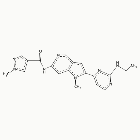 Cn1cc(C(=O)Nc2cc3c(cn2)cc(-c2ccnc(NCC(F)(F)F)n2)n3C)cn1